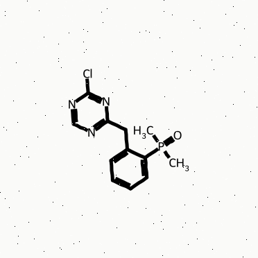 CP(C)(=O)c1ccccc1Cc1ncnc(Cl)n1